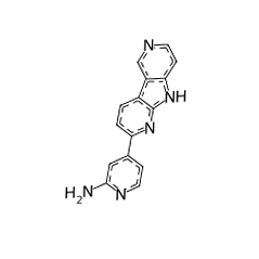 Nc1cc(-c2ccc3c(n2)[nH]c2ccncc23)ccn1